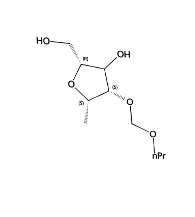 CCCOCO[C@H]1C(O)[C@@H](CO)O[C@H]1C